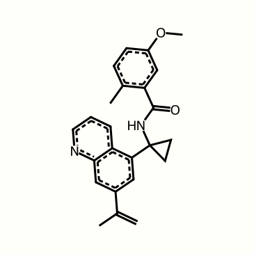 C=C(C)c1cc(C2(NC(=O)c3cc(OC)ccc3C)CC2)c2cccnc2c1